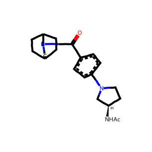 CC(=O)N[C@@H]1CCN(c2ccc(C(=O)N3CC4CCC(CC4)C3)cc2)C1